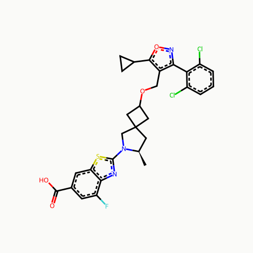 C[C@@H]1CC2(CC(OCc3c(-c4c(Cl)cccc4Cl)noc3C3CC3)C2)CN1c1nc2c(F)cc(C(=O)O)cc2s1